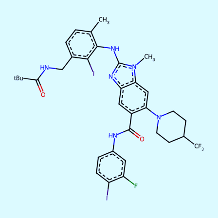 Cc1ccc(CNC(=O)C(C)(C)C)c(I)c1Nc1nc2cc(C(=O)Nc3ccc(I)c(F)c3)c(N3CCC(C(F)(F)F)CC3)cc2n1C